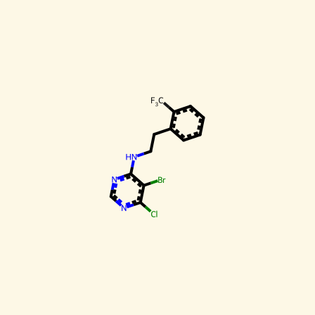 FC(F)(F)c1ccccc1CCNc1ncnc(Cl)c1Br